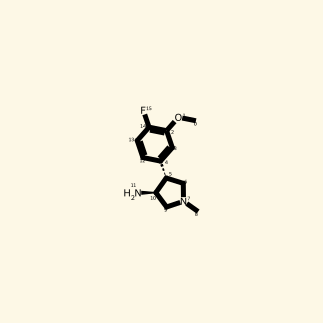 COc1cc([C@@H]2CN(C)C[C@H]2N)ccc1F